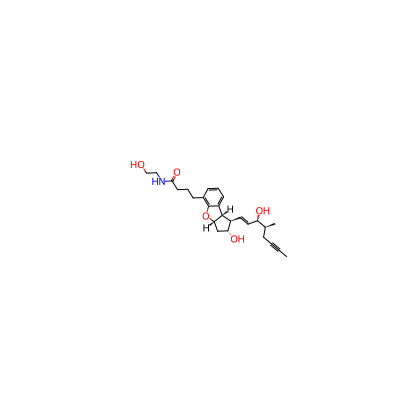 CC#CC[C@H](C)[C@H](O)/C=C/[C@@H]1[C@H]2c3cccc(CCCC(=O)NCCO)c3O[C@H]2C[C@H]1O